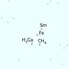 C.[Fe].[GaH3].[Sm]